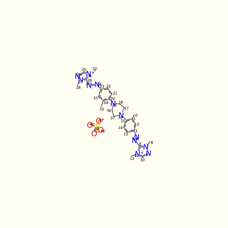 Cc1cc(/N=N/c2n(C)nc[n+]2C)ccc1N1CCN(c2ccc(/N=N/c3n(C)nc[n+]3C)cc2C)CC1.O=S(=O)([O-])[O-]